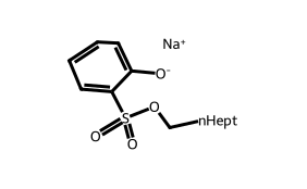 CCCCCCCCOS(=O)(=O)c1ccccc1[O-].[Na+]